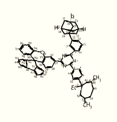 CCC1(c2ccc(-c3nc(-c4cccc(C56C[C@H]7C[C@H](C5)C[C@@H](C6)C7)c4)nc(-c4ccc5c(c4)Oc4ccccc4C54c5ccccc5-c5ccccc54)n3)cc2)CC(C)CC[C@@H](C)C1